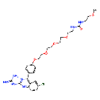 CCOCCNC(=O)NCCOCCOCCOCCOc1ccc(-c2nc(NC(=N)N)nc3ccc(Cl)cc23)cc1